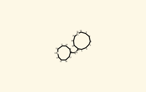 C1CCCCCC([P]C2CCCCCCCCC2)CCCCC1